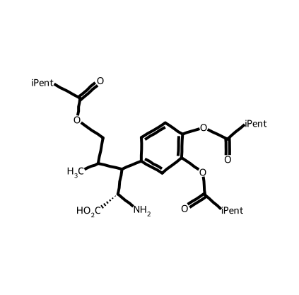 CCCC(C)C(=O)OCC(C)C(c1ccc(OC(=O)C(C)CCC)c(OC(=O)C(C)CCC)c1)[C@H](N)C(=O)O